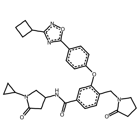 O=C(NC1CC(=O)N(C2CC2)C1)c1ccc(CN2CCCC2=O)c(Oc2ccc(-c3nc(C4CCC4)no3)cc2)c1